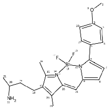 COc1ccc(-c2ccc3n2[B-](F)(F)[N+]2=C(C)C(CCC(C)N)=C(C)C2=C3)cc1